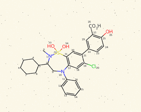 CN1C(C2CCCCC2)CN(c2ccccc2)c2cc(Cl)c(-c3ccc(O)c(C(=O)O)c3)cc2S1(O)O